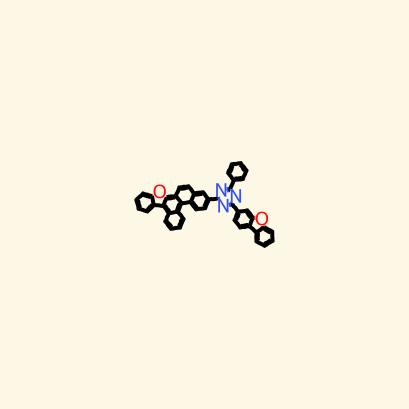 c1ccc(-c2nc(-c3ccc4c(ccc5c6oc7ccccc7c6c6ccccc6c45)c3)nc(-c3ccc4c(c3)oc3ccccc34)n2)cc1